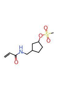 C=CC(=O)NCC1CCC(OS(C)(=O)=O)C1